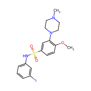 COc1ccc(S(=O)(=O)Nc2cccc(I)c2)cc1N1CCN(C)CC1